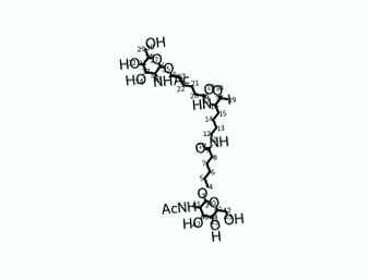 CC(=O)NC1C(OCCCCCC(=O)NCCCCC(NC(=O)CCCCCOC2OC(CO)C(O)C(O)C2NC(C)=O)C(=O)I)OC(CO)C(O)C1O